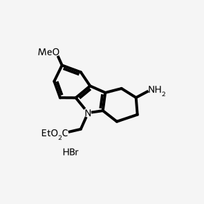 Br.CCOC(=O)Cn1c2c(c3cc(OC)ccc31)CC(N)CC2